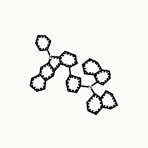 c1ccc(-n2c3cc4ccccc4cc3c3c(-c4cccc(N(c5cccc6ccccc56)c5cccc6ccccc56)c4)cccc32)cc1